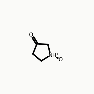 O=C1CC[NH+]([O-])C1